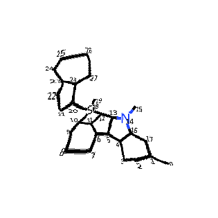 CC1CCC2C3C4CCCC5C4C(C3N(C)C2C1)[Si]5(C)C1CCC2CCCCC21